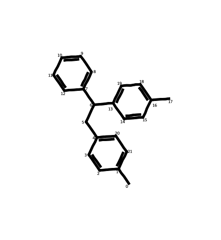 Cc1ccc(CC(c2ccccc2)c2ccc(C)cc2)cc1